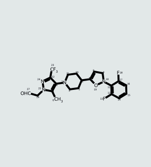 Cc1c(N2CCC(C3=CCN(c4c(F)cccc4F)O3)CC2)c(C(F)(F)F)nn1CC=O